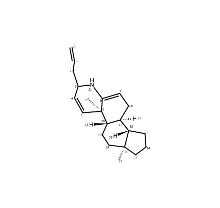 C=CCC1C=C[C@@]2(C)C(=CC[C@H]3[C@@H]4CCC[C@@]4(C)CC[C@@H]32)N1